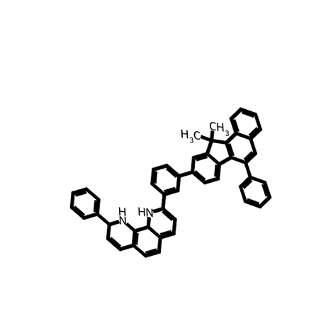 CC1(C)c2cc(-c3cccc(C4=CC=C5C=CC6=C(NC(c7ccccc7)C=C6)C5N4)c3)ccc2-c2c(-c3ccccc3)cc3ccccc3c21